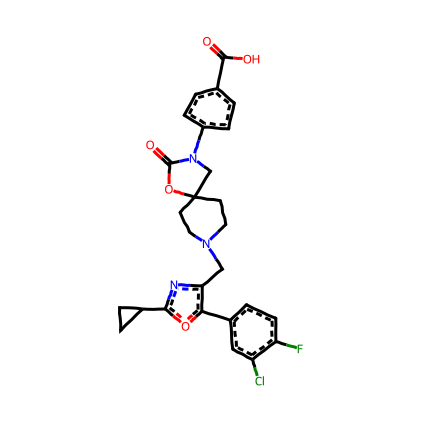 O=C(O)c1ccc(N2CC3(CCN(Cc4nc(C5CC5)oc4-c4ccc(F)c(Cl)c4)CC3)OC2=O)cc1